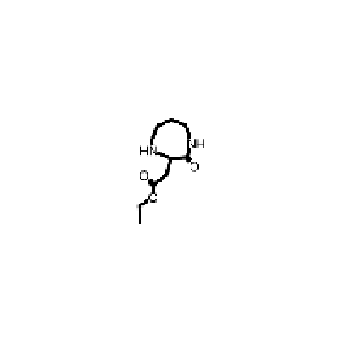 CCOC(=O)CC1NCCCCNC1=O